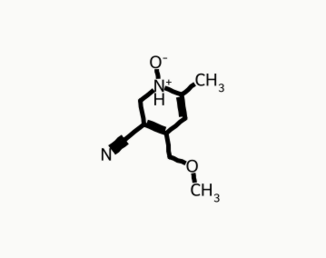 COCC1=C(C#N)C[NH+]([O-])C(C)=C1